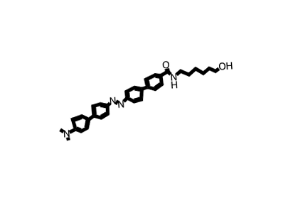 CN(C)c1ccc(-c2ccc(/N=N/c3ccc(-c4ccc(C(=O)NCCCCCCO)cc4)cc3)cc2)cc1